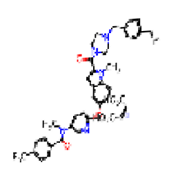 CC(C)Cc1ccc(CN2CCN(C(=O)c3cc4cc(Oc5ccc(N(C)C(=O)c6ccc(C(F)(F)F)cc6)cn5)ccc4n3C)CC2)cc1.O=C(O)/C=C\C(=O)O